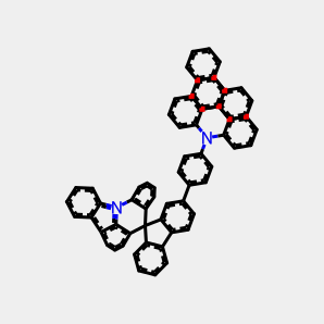 c1ccc(-c2ccccc2-c2ccccc2N(c2ccc(-c3ccc4c(c3)C3(c5ccccc5-4)c4ccccc4-n4c5ccccc5c5cccc3c54)cc2)c2ccccc2-c2ccccc2)cc1